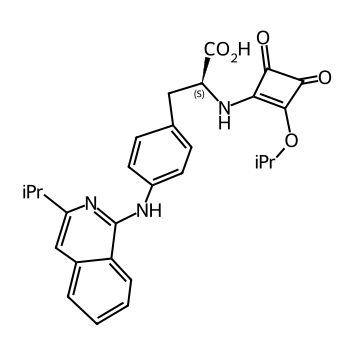 CC(C)Oc1c(N[C@@H](Cc2ccc(Nc3nc(C(C)C)cc4ccccc34)cc2)C(=O)O)c(=O)c1=O